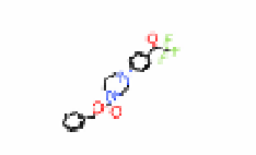 O=C(OCc1ccccc1)N1CCCN(c2ccc(C(=O)C(F)(F)F)cc2)CC1